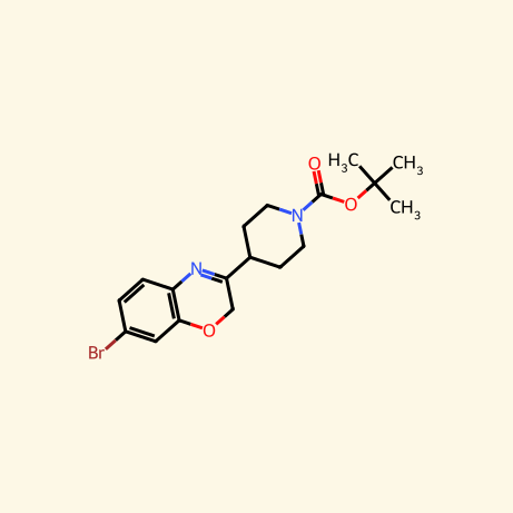 CC(C)(C)OC(=O)N1CCC(C2=Nc3ccc(Br)cc3OC2)CC1